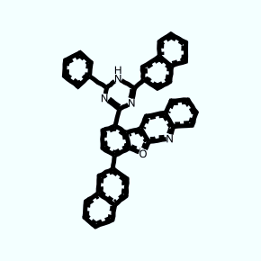 c1ccc(C2N=C(c3ccc(-c4ccc5ccccc5c4)c4oc5nc6ccccc6cc5c34)N=C(c3ccc4ccccc4c3)N2)cc1